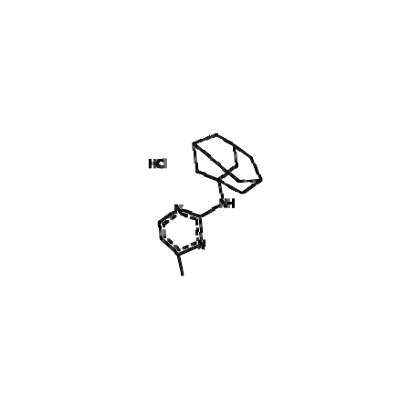 Cc1ccnc(NC23CC4CC(CC(C4)C2)C3)n1.Cl